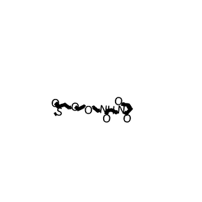 CSC(=O)CCOCCOCCNC(=O)CCN1C(=O)C=CC1=O